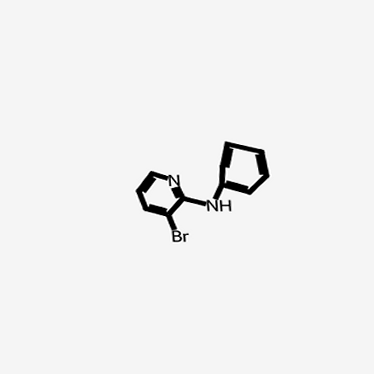 Brc1cccnc1Nc1ccccc1